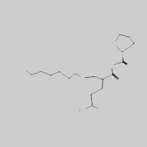 CCCCCCCCCCCCCCCCSCC(CCC(O)C(C)C)C(=O)OC(=O)[C@@H]1CCCN1